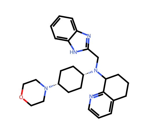 c1cnc2c(c1)CCCC2N(Cc1nc2ccccc2[nH]1)[C@H]1CC[C@@H](N2CCOCC2)CC1